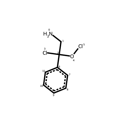 NCC(Cl)(OCl)c1ccccc1